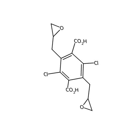 O=C(O)c1c(Cl)c(CC2CO2)c(C(=O)O)c(Cl)c1CC1CO1